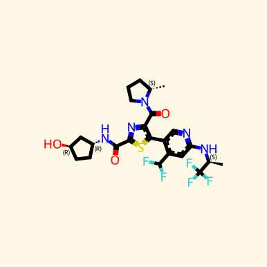 C[C@H](Nc1cc(C(F)F)c(-c2sc(C(=O)N[C@@H]3CC[C@@H](O)C3)nc2C(=O)N2CCC[C@@H]2C)cn1)C(F)(F)F